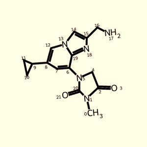 CN1C(=O)CN(c2cc(C3CC3)cn3cc(CN)nc23)C1=O